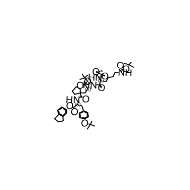 CC(C)(C)OC(=O)NCCCC[C@H](NS(C)(=O)=O)C(=O)NC[C@H](CC1(C(=O)N[C@@H](Cc2ccc(OC(C)(C)C)cc2)C(=O)Oc2ccc3c(c2)CCC3)CCCC1)C(=O)OC(C)(C)C